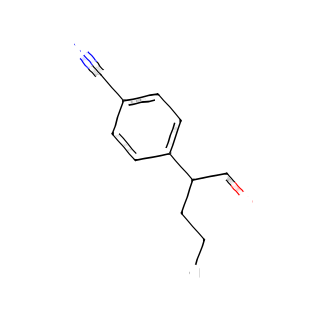 CCCC([C]=O)c1ccc(C#N)cc1